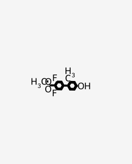 COC(=O)c1c(F)cc(-c2ccc(O)cc2C)cc1F